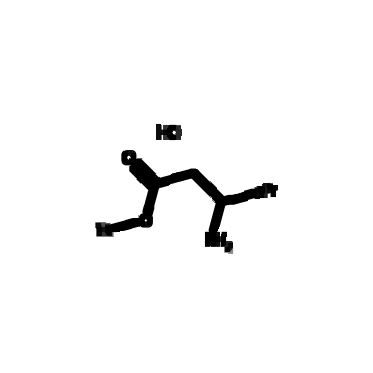 CCCC(N)CC(=O)OCC.Cl